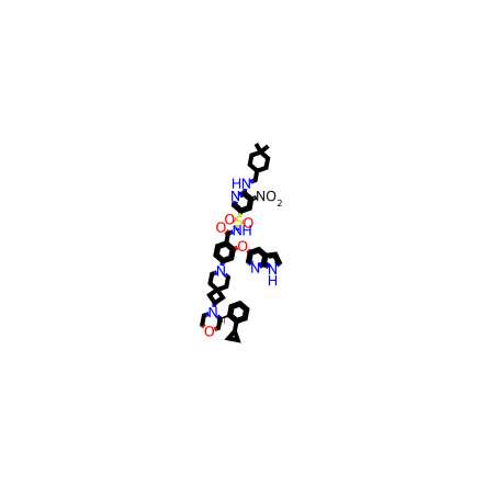 CC1(C)CCC(CNc2ncc(S(=O)(=O)NC(=O)c3ccc(N4CCC5(CC4)CC(N4CCOC[C@@H]4c4ccccc4C4CC4)C5)cc3Oc3cnc4[nH]ccc4c3)cc2[N+](=O)[O-])CC1